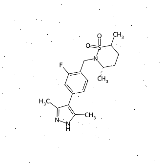 Cc1n[nH]c(C)c1-c1ccc(CN2[C@@H](C)CCC(C)S2(=O)=O)c(F)c1